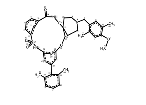 COc1cc(C)c(CN2CCC3(CC2)CNC(=O)c2cccc(c2)S(=O)(=O)Nc2nc(cc(-c4c(C)cccc4C)n2)OC3)cc1C